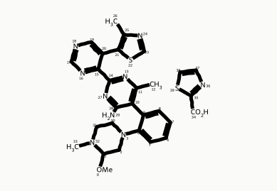 COC1CN(c2ccccc2-c2c(C)nc(-c3ncncc3-c3scnc3C)nc2N)CCN1C.O=C(O)c1nccs1